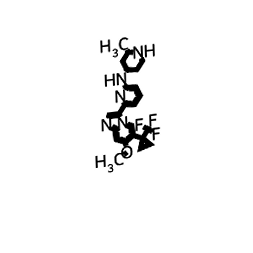 COc1cc2ncc(-c3cccc(NC4CCNC(C)C4)n3)n2cc1C1(C(F)(F)F)CC1